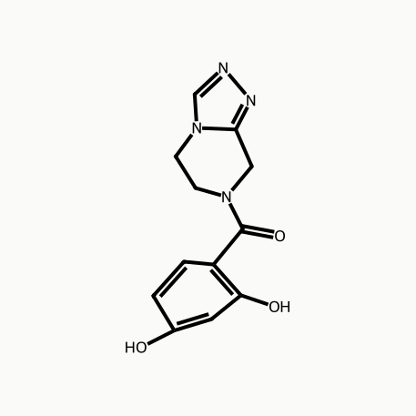 O=C(c1ccc(O)cc1O)N1CCn2cnnc2C1